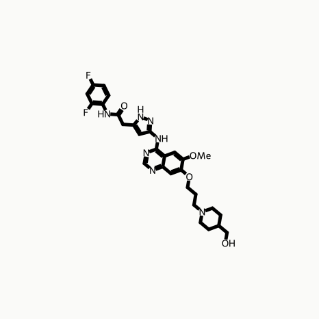 COc1cc2c(Nc3cc(CC(=O)Nc4ccc(F)cc4F)[nH]n3)ncnc2cc1OCCCN1CCC(CO)CC1